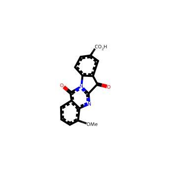 COc1cccc2c(=O)n3c(nc12)C(=O)c1cc(C(=O)O)ccc1-3